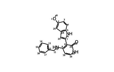 COc1ccc2[nH]c(-c3c(NCc4ccccc4)cc[nH]c3=O)cc2c1